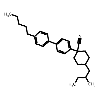 CCCCCc1ccc(-c2ccc(C3(C#N)CCC(CC(C)CC)CC3)cc2)cc1